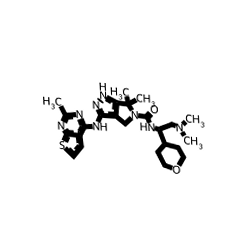 Cc1nc(Nc2n[nH]c3c2CN(C(=O)NC(CN(C)C)C2CCOCC2)C3(C)C)c2ccsc2n1